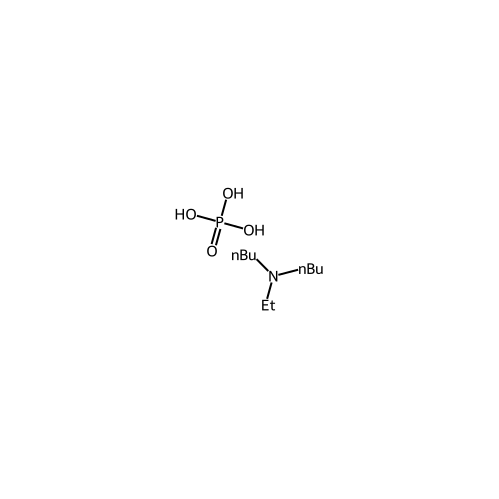 CCCCN(CC)CCCC.O=P(O)(O)O